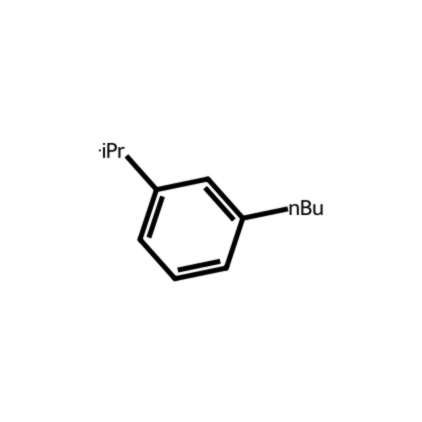 CCCCc1cccc([C](C)C)c1